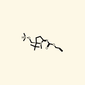 C=CCOC(=O)N=C1CC[C@@](CO[SiH](C)C)(C(C)(C)C)N1C